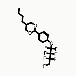 CCCCC1COC(C2=CCC(OC(F)(F)C(F)(F)C(F)(F)CF)C=C2)OC1